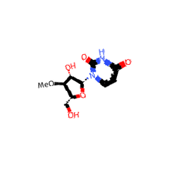 COC1[C@@H](CO)O[C@@H](n2ccc(=O)[nH]c2=O)[C@H]1O